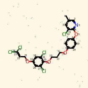 Cc1cnc(Oc2ccc(OCCCOc3c(Cl)cc(OCC=C(Cl)Cl)cc3Cl)cc2)c(Cl)c1